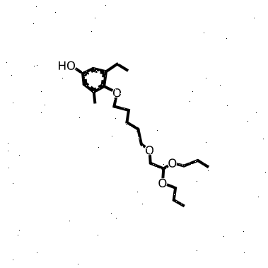 CCCOC(COCCCCCOc1c(C)cc(O)cc1CC)OCCC